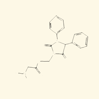 CN(C)CC(=O)SCN1C(=O)C(c2ccccc2)N(c2ccccc2)C1=O